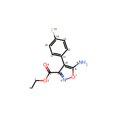 CCOC(=O)c1noc(N)c1-c1ccc(F)cc1